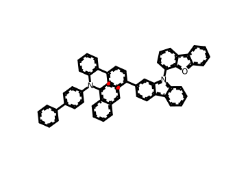 c1ccc(-c2ccc(N(c3ccccc3-c3ccc(-c4ccc5c6ccccc6n(-c6cccc7c6oc6ccccc67)c5c4)cc3)c3cccc4ccccc34)cc2)cc1